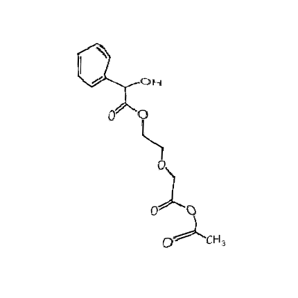 CC(=O)OC(=O)COCCOC(=O)C(O)c1ccccc1